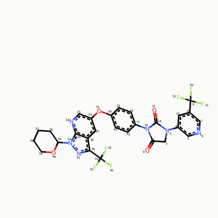 O=C1CN(c2cncc(C(F)(F)F)c2)C(=O)N1c1ccc(Oc2cnc3c(c2)c(C(F)(F)F)nn3C2CCCCO2)cc1